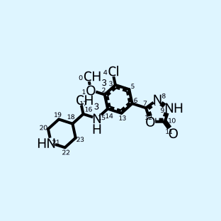 COc1c(Cl)cc(-c2n[nH]c(=O)o2)cc1NC(C)C1CCNCC1